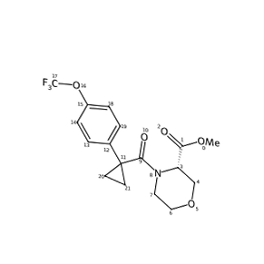 COC(=O)[C@@H]1COCCN1C(=O)C1(c2ccc(OC(F)(F)F)cc2)CC1